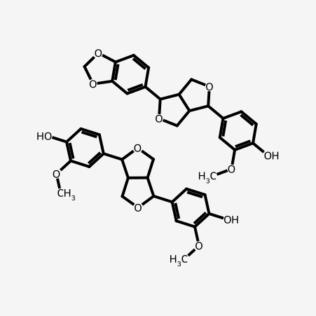 COc1cc(C2OCC3C(c4ccc(O)c(OC)c4)OCC23)ccc1O.COc1cc(C2OCC3C(c4ccc5c(c4)OCO5)OCC23)ccc1O